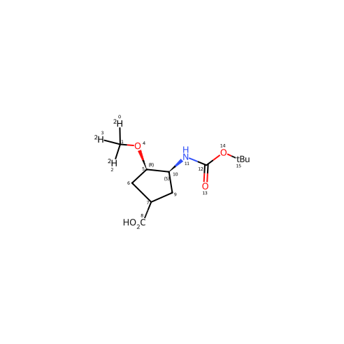 [2H]C([2H])([2H])O[C@@H]1CC(C(=O)O)C[C@@H]1NC(=O)OC(C)(C)C